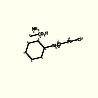 CC(=O)O.N.NC1CCCCC1.[Cl][Pt][Cl]